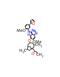 C=CC(=O)CC12CC(C)CC(Oc3cc4c(Nc5cc(-c6ccco6)ccc5OC)ncnc4cc3OC)CC(C1)C(C)C2